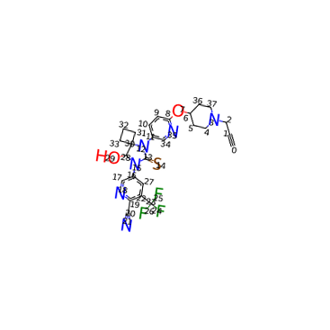 C#CCN1CCC(Oc2ccc(N3C(=S)N(c4cnc(C#N)c(C(F)(F)F)c4)C(O)C34CCC4)cn2)CC1